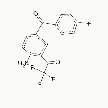 Nc1ccc(C(=O)c2ccc(F)cc2)cc1C(=O)C(F)(F)F